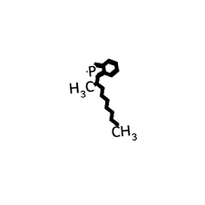 CCCCCCCCC(C)C1=c2ccccc2=C[P]1